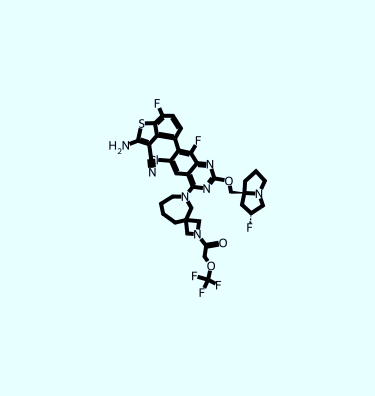 N#Cc1c(N)sc2c(F)ccc(-c3c(Cl)cc4c(N5CCCCC6(CN(C(=O)COC(F)(F)F)C6)C5)nc(OC[C@@]56CCCN5C[C@H](F)C6)nc4c3F)c12